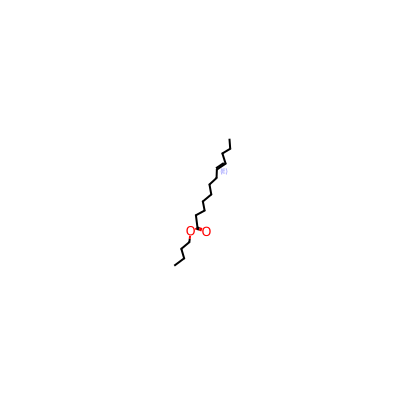 CCC/C=C/CCCCCCC(=O)OCCCC